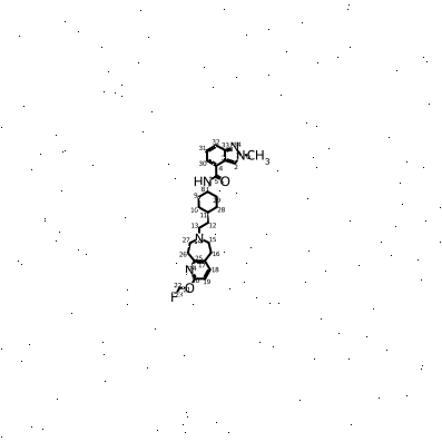 Cn1cc2c(C(=O)N[C@H]3CC[C@H](CCN4CCc5ccc(OCF)nc5CC4)CC3)cccc2n1